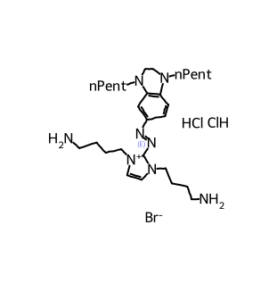 CCCCCN1CCN(CCCCC)c2cc(/N=N/c3n(CCCCN)cc[n+]3CCCCN)ccc21.Cl.Cl.[Br-]